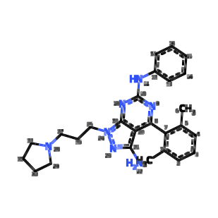 Cc1cccc(C)c1-c1nc(Nc2ccccc2)nc2c1c(N)nn2CCCN1CCCC1